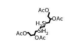 CC(=O)OCCC(C[SiH2]CC[SiH2]CC(CCOC(C)=O)OC(C)=O)OC(C)=O